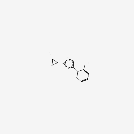 N[C@H]1C[C@@H]1c1ncc(C2CC=CC=C2O)s1